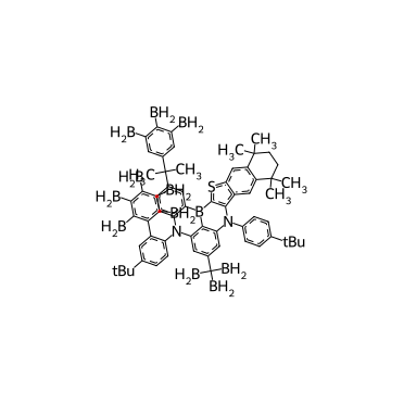 Bc1cc(C(C)(C)c2ccc3c(c2)B2c4sc5cc6c(cc5c4N(c4ccc(C(C)(C)C)cc4)c4cc(C(B)(B)B)cc(c42)N3c2ccc(C(C)(C)C)cc2-c2c(B)c(B)c(B)c(B)c2B)C(C)(C)CCC6(C)C)cc(B)c1B